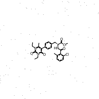 CCn1c(C)c(-c2ccc(C[C@H](NC(=O)c3c(C)cccc3Cl)C(=O)OC)cc2)c(=O)n(CC)c1=O